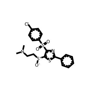 CN(C)CC[S+]([O-])c1sc(-c2ccccc2)nc1S(=O)(=O)c1ccc(Cl)cc1